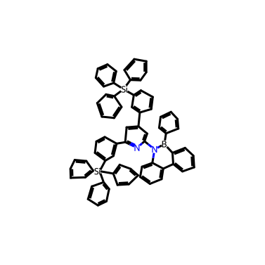 c1ccc(B2c3ccccc3-c3ccccc3N2c2cc(-c3cccc([Si](c4ccccc4)(c4ccccc4)c4ccccc4)c3)cc(-c3cccc([Si](c4ccccc4)(c4ccccc4)c4ccccc4)c3)n2)cc1